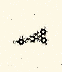 C=C(Oc1ccc(Br)cc1)N1CCc2c(nc(N)n(C(c3ccc(F)cc3)c3ccc(F)cc3)c2=O)C1